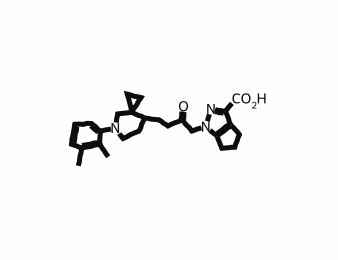 Cc1cccc(N2CCC(CCC(=O)Cn3nc(C(=O)O)c4c3CCC4)C3(CC3)C2)c1C